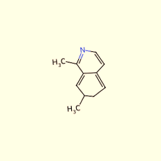 Cc1nccc2c1=CC(C)CC=2